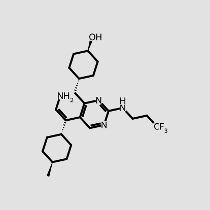 C[C@H]1CC[C@H](/C(=C/N)c2cnc(NCCC(F)(F)F)nc2C[C@H]2CC[C@H](O)CC2)CC1